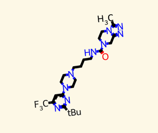 Cc1nnc2n1CCN(C(=O)NCCCCN1CCN(c3cc(C(F)(F)F)nc(C(C)(C)C)n3)CC1)C2